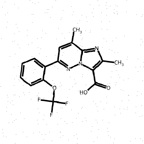 Cc1nc2c(C)cc(-c3ccccc3OC(F)(F)F)nn2c1C(=O)O